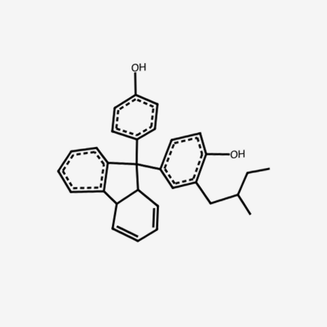 CCC(C)Cc1cc(C2(c3ccc(O)cc3)c3ccccc3C3C=CC=CC32)ccc1O